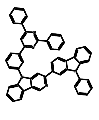 c1ccc(-c2cc(-c3cccc(-n4c5ccccc5c5cnc(-c6ccc7c8ccccc8n(-c8ccccc8)c7c6)cc54)c3)nc(-c3ccccc3)n2)cc1